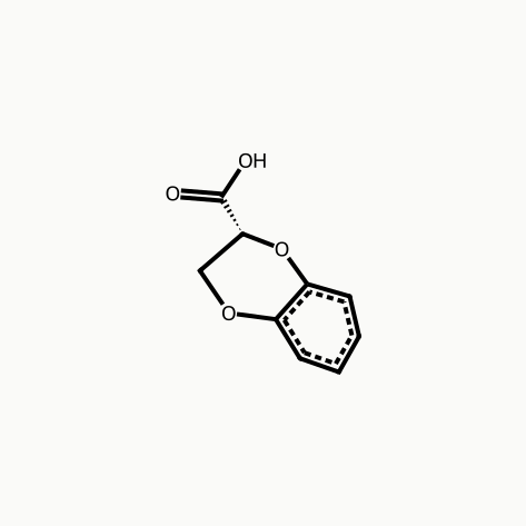 O=C(O)[C@H]1COc2ccccc2O1